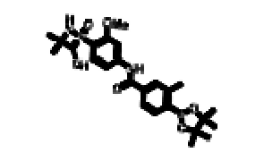 COc1cc(NC(=O)c2ccc(B3OC(C)(C)C(C)(C)O3)c(C)c2)ccc1S1(=O)=C(O)C(C)(C)N1